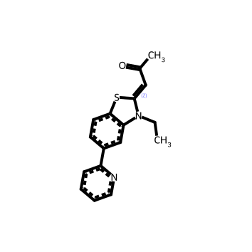 CCN1/C(=C/C(C)=O)Sc2ccc(-c3ccccn3)cc21